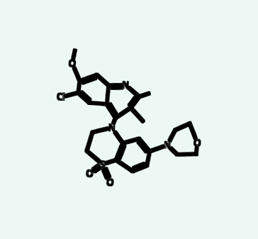 COc1cc2nc(C)c(C)c(N3CCS(=O)(=O)c4ccc(N5CCOCC5)cc43)c2cc1Cl